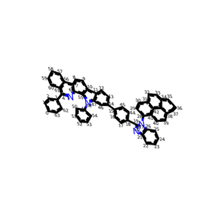 c1ccc(-c2nc3c(ccc4c5ccc(-c6ccc(-c7nc8ccccc8n7-c7ccc8ccc9cccc%10ccc7c8c9%10)cc6)cc5n(-c5ccccc5)c43)c3ccccc23)cc1